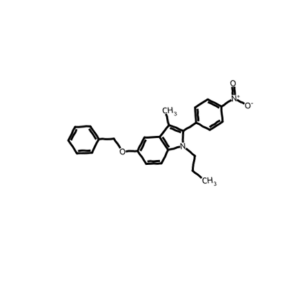 CCCn1c(-c2ccc([N+](=O)[O-])cc2)c(C)c2cc(OCc3ccccc3)ccc21